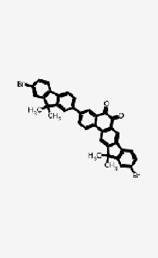 CC1(C)c2cc(Br)ccc2-c2ccc(-c3ccc4c(c3)C(=O)C(=O)c3cc5c(cc3-4)C(C)(C)c3cc(Br)ccc3-5)cc21